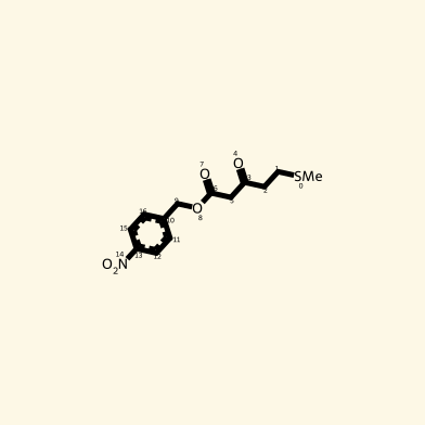 CSCCC(=O)CC(=O)OCc1ccc([N+](=O)[O-])cc1